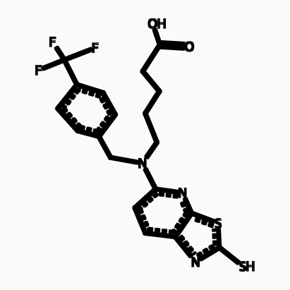 O=C(O)CCCCN(Cc1ccc(C(F)(F)F)cc1)c1ccc2nc(S)sc2n1